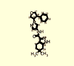 CC1(C)CCc2c(C(=O)Nc3cnn(C4COCC4c4ccccc4)c3)n[nH]c2C1